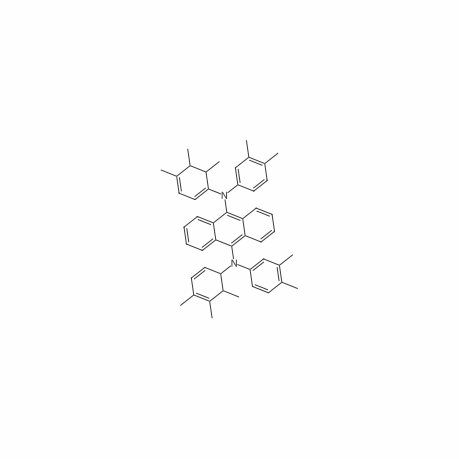 CC1=CC=C(N(c2ccc(C)c(C)c2)c2c3ccccc3c(N(c3ccc(C)c(C)c3)C3C=CC(C)=C(C)C3C)c3ccccc23)C(C)C1C